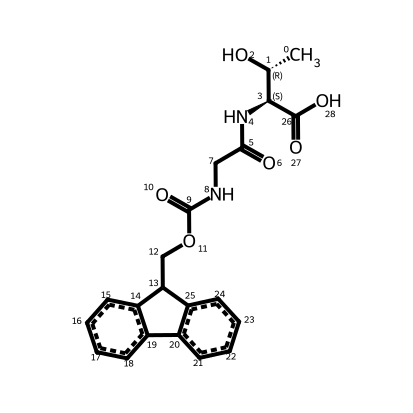 C[C@@H](O)[C@H](NC(=O)CNC(=O)OCC1c2ccccc2-c2ccccc21)C(=O)O